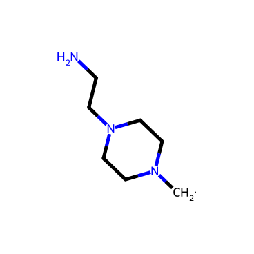 [CH2]N1CCN(CCN)CC1